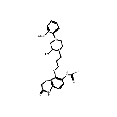 CCCC(=O)Nc1ccc2c(c1OCCCN1CCN(c3ccccc3OC)CC1O)CCC(=O)N2